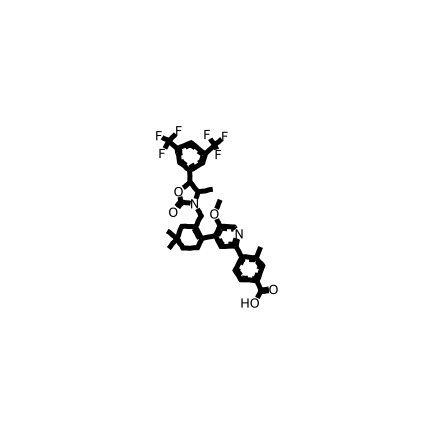 COc1cnc(-c2ccc(C(=O)O)cc2C)cc1C1=C(CN2C(=O)OC(c3cc(C(F)(F)F)cc(C(F)(F)F)c3)C2C)CC(C)(C)CC1